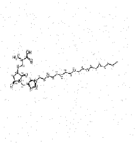 CCCCOCCOCCOCCOCCOCCn1cc(CN2C(=O)CC(SCC(N)C(=O)O)C2=O)nn1